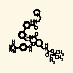 CC(C)(C)OC(=O)NCC1CCC(C(=O)N[C@@H](Cc2cccc(-c3cccc(C(=O)NCCN4CCCC4)c3)c2)C(=O)Nc2ccc(-c3nnn[nH]3)cc2)CC1